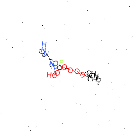 CC(C)(C)CCOCCOCCOCCOc1ccc([C@@H](CC(=O)O)N2CCN(CCCc3ccc4c(n3)NCCC4)C2=O)cc1F